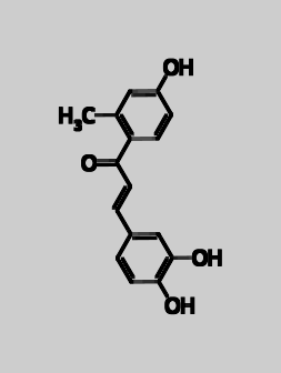 Cc1cc(O)ccc1C(=O)/C=C/c1ccc(O)c(O)c1